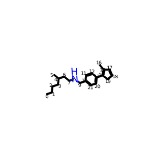 CCCCC(C)CCNCc1ccc(C2=C(C)C=CC2)cc1